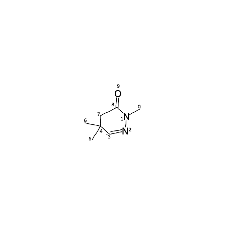 CN1N=[C]C(C)(C)CC1=O